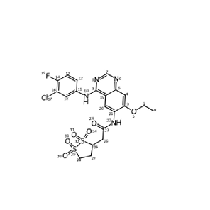 CCOc1cc2ncnc(Nc3ccc(F)c(Cl)c3)c2cc1NC(=O)CC1CCS(=O)(=O)S1(=O)=O